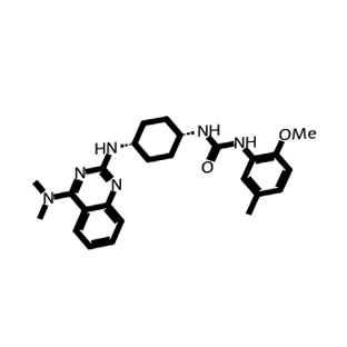 COc1ccc(C)cc1NC(=O)N[C@H]1CC[C@@H](Nc2nc(N(C)C)c3ccccc3n2)CC1